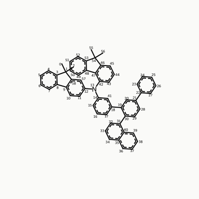 CC1(C)c2ccccc2-c2ccc(N(c3cccc(-c4cc(-c5ccccc5)ccc4-c4cccc5ccccc45)c3)c3cccc4c3-c3ccccc3C4(C)C)cc21